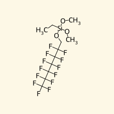 CC[Si](OC)(OC)OCC(F)(F)C(F)(F)C(F)(F)C(F)(F)C(F)(F)C(F)(F)F